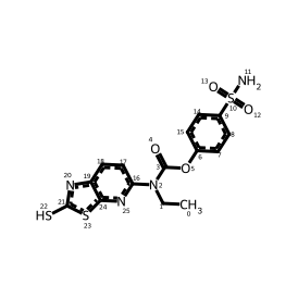 CCN(C(=O)Oc1ccc(S(N)(=O)=O)cc1)c1ccc2nc(S)sc2n1